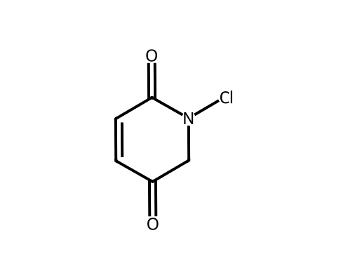 O=C1C=CC(=O)N(Cl)C1